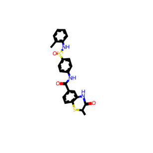 Cc1ccccc1N[S+]([O-])c1ccc(NC(=O)c2ccc3c(c2)NC(=O)C(C)S3)cc1